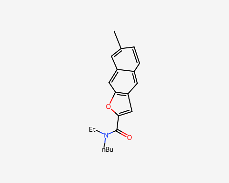 CCCCN(CC)C(=O)c1cc2cc3ccc(C)cc3cc2o1